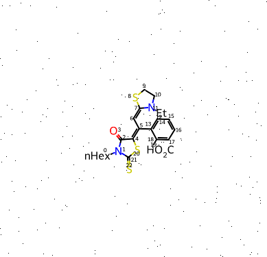 CCCCCCN1C(=O)/C(=C(\C=C2\SCCN2CC)c2ccccc2C(=O)O)SC1=S